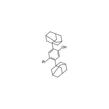 CC(C)c1cc(C23CC4CC(CC(C4)C2)C3)c(O)cc1C12CC3CC(CC(C3)C1)C2